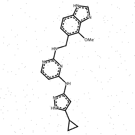 COc1c(CNc2nccc(Nc3cc(C4CC4)[nH]n3)n2)ccc2[nH]cnc12